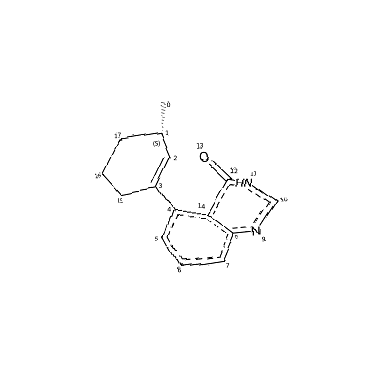 C[C@@H]1C=C(c2cccc3nc[nH]c(=O)c23)CCC1